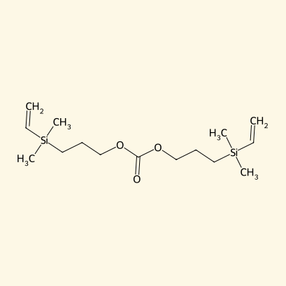 C=C[Si](C)(C)CCCOC(=O)OCCC[Si](C)(C)C=C